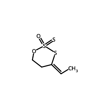 C/C=C1/CCOS(=O)(=S)S1